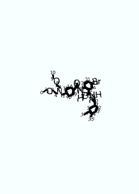 CCOCCN(CCOCC)Cc1ccc(C(=O)Nc2ccc(Br)cc2C(=O)NN=Cc2ccc(C)c(C)c2)cc1